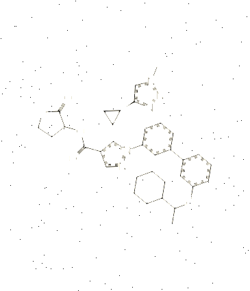 CC(Oc1cccc(-c2cccc(-n3ncc(C(=O)OC4CCOC4=O)c3[C@@H]3C[C@H]3c3cn(C)nn3)c2)c1)C1CCCCC1